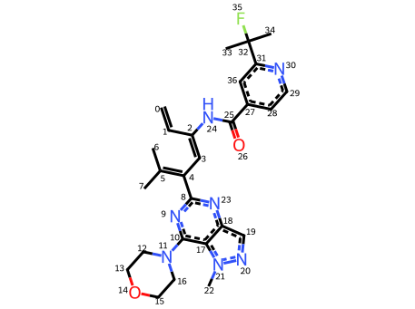 C=C/C(=C\C(=C(C)C)c1nc(N2CCOCC2)c2c(cnn2C)n1)NC(=O)c1ccnc(C(C)(C)F)c1